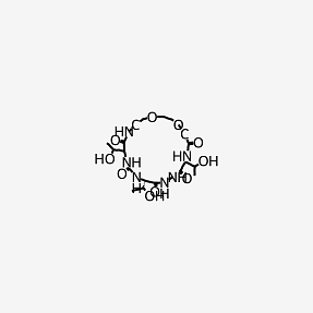 CC(O)C1NC(=O)COCCOCCNC(=O)C(C(C)O)NC(=O)N[C@@H](C(C)O)C(=O)NNC1=O